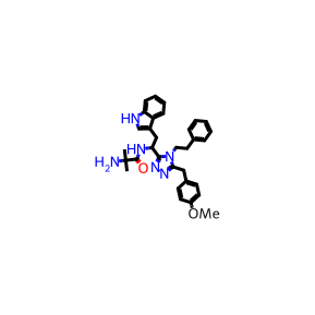 COc1ccc(Cc2nnc(C(Cc3c[nH]c4ccccc34)NC(=O)C(C)(C)N)n2CCc2ccccc2)cc1